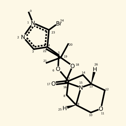 Cn1ncc(COC2C[C@H]3COC[C@@H](C2)N3C(=O)OC(C)(C)C)c1Br